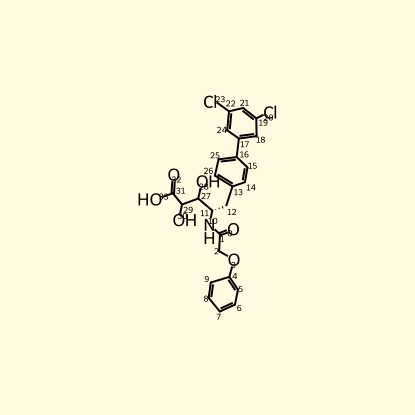 O=C(COc1ccccc1)N[C@@H](Cc1ccc(-c2cc(Cl)cc(Cl)c2)cc1)C(O)C(O)C(=O)O